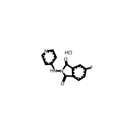 Cl.O=C1c2ccc(F)cc2C(=O)N1Nc1ccncc1